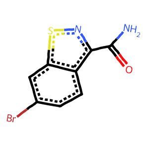 NC(=O)c1nsc2cc(Br)ccc12